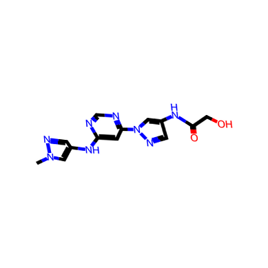 Cn1cc(Nc2cc(-n3cc(NC(=O)CO)cn3)ncn2)cn1